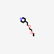 C=COCCOCCc1ccncc1